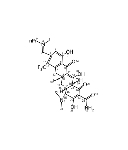 CCCN(C)Cc1cc(O)c2c(c1C(F)(F)F)C[C@H]1C[C@H]3[C@H](N(C)C)C(O)=C(C(N)=O)C(=O)[C@@]3(O)C(O)=C1C2=O